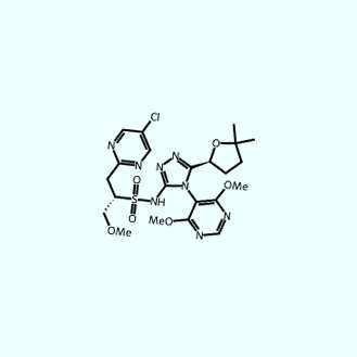 COC[C@H](Cc1ncc(Cl)cn1)S(=O)(=O)Nc1nnc([C@@H]2CCC(C)(C)O2)n1-c1c(OC)ncnc1OC